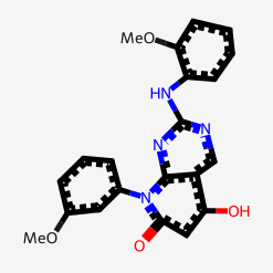 COc1cccc(-n2c(=O)cc(O)c3cnc(Nc4ccccc4OC)nc32)c1